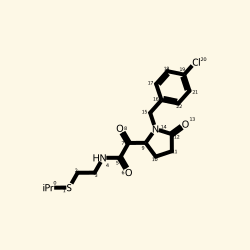 CC(C)SCCNC(=O)C(=O)C1CCC(=O)N1Cc1ccc(Cl)cc1